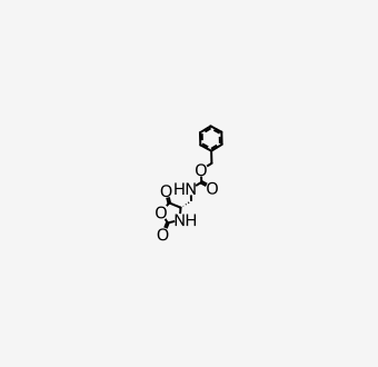 O=C(NC[C@@H]1NC(=O)OC1=O)OCc1ccccc1